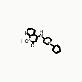 O=c1cc(NC2CCN(c3ccccc3)CC2)c2cccnc2n1O